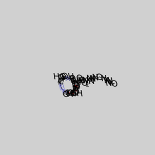 CO[C@H]1C[C@@H]2CC[C@@H](C)[C@@](O)(O2)C(=O)C(=O)N2CCCC[C@H]2C(=O)O[C@H]([C@H](N)C[C@@H]2CC[C@@H](OC(=O)N3CCc4nc(N5CCN(CCOCCN6CCN(c7ncc(C(C)=O)cn7)CC6)CC5)ncc4C3)[C@H](OC)C2)CC(=O)[C@H](C)/C=C(\C)[C@@H](O)[C@@H](O)C(=O)[C@H](C)C[C@H](C)/C=C/C=C/C=C/1C